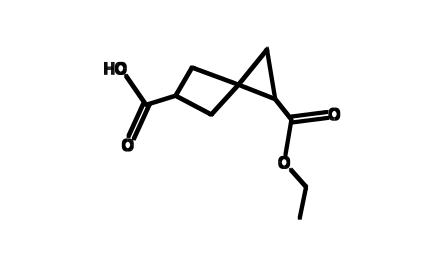 CCOC(=O)C1CC12CC(C(=O)O)C2